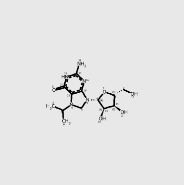 CC(C)N1CN([C@@H]2O[C@H](CO)[C@@H](O)[C@H]2O)c2nc(N)[nH]c(=O)c21